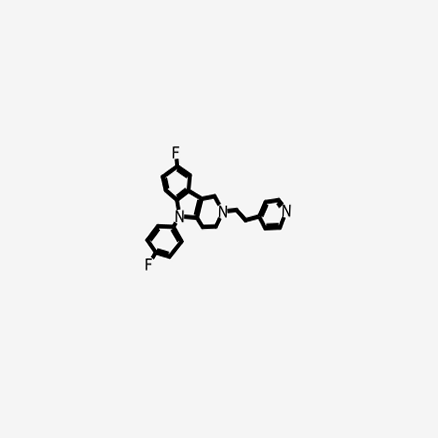 Fc1ccc(-n2c3c(c4cc(F)ccc42)CN(CCc2ccncc2)CC3)cc1